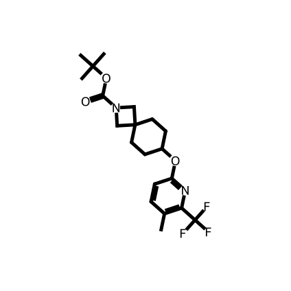 Cc1ccc(OC2CCC3(CC2)CN(C(=O)OC(C)(C)C)C3)nc1C(F)(F)F